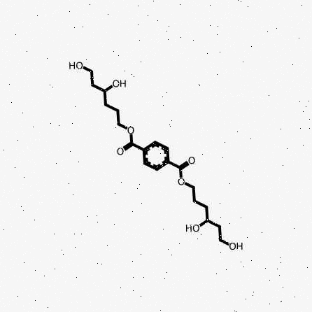 O=C(OCCCC(O)CCO)c1ccc(C(=O)OCCCC(O)CCO)cc1